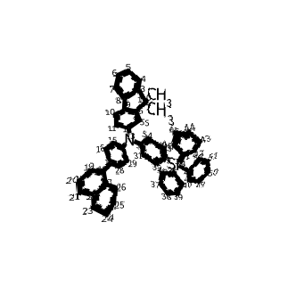 CC1(C)c2ccccc2-c2ccc(N(c3ccc(-c4cccc5ccccc45)cc3)c3ccc([Si](c4ccccc4)(c4ccccc4)c4ccccc4)cc3)cc21